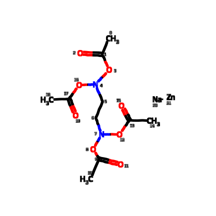 CC(=O)ON(CCN(OC(C)=O)OC(C)=O)OC(C)=O.[Na].[Zn]